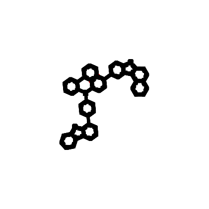 c1ccc(-c2ccccc2N(c2ccc(-c3ccc4oc5ccc6ccccc6c5c4c3)cc2)c2ccc(-c3cccc4c3oc3ccccc34)cc2)cc1